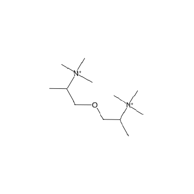 CC(COCC(C)[N+](C)(C)C)[N+](C)(C)C